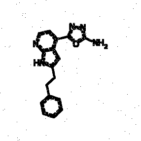 Nc1nnc(-c2ccnc3[nH]c(CCc4ccccc4)cc23)o1